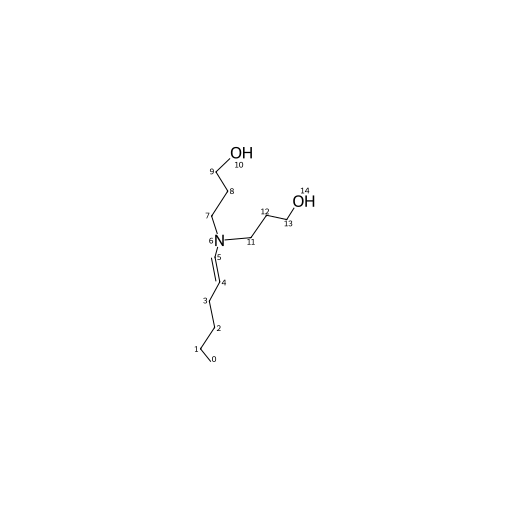 CCCCC=CN(CCCO)CCCO